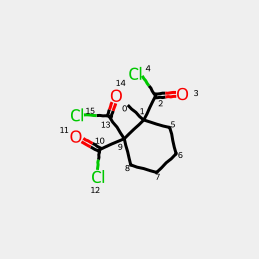 CC1(C(=O)Cl)CCCCC1(C(=O)Cl)C(=O)Cl